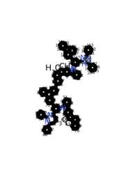 CC1(C)c2cc3c(cc2-c2c1ccc1cc(-c4ccc5c6cc(-c7cc(/C8=N/C(c9ccccc9)=N\C(c9ccccc9)=C/CC8)cc(-n8c9ccccc9c9cc%10c(cc98)C(C)(C)c8c-%10ccc9ccccc89)c7)ccc6c6ccccc6c5c4)ccc21)c1ccccc1n3-c1cc(-c2nc(-c3ccccc3)nc(-c3ccccc3)n2)cc(-c2ccc3c4c(cccc24)-c2ccccc2-3)c1